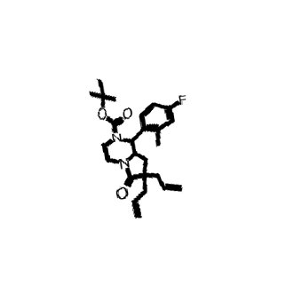 C=CCC1(CC=C)CC2C(c3ccc(F)cc3C)N(C(=O)OC(C)(C)C)CCN2C1=O